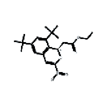 CCOC(=O)C[C@H]1OC([N+](=O)[O-])=Cc2cc(C(C)(C)C)cc(C(C)(C)C)c21